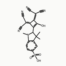 CN1c2ccc(S(=O)(=O)O)cc2C(C)(C)C1C1=C(O)C(=C(C#N)C#N)C1=C(C#N)C#N